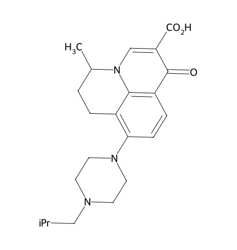 CC(C)CN1CCN(c2ccc3c(=O)c(C(=O)O)cn4c3c2CCC4C)CC1